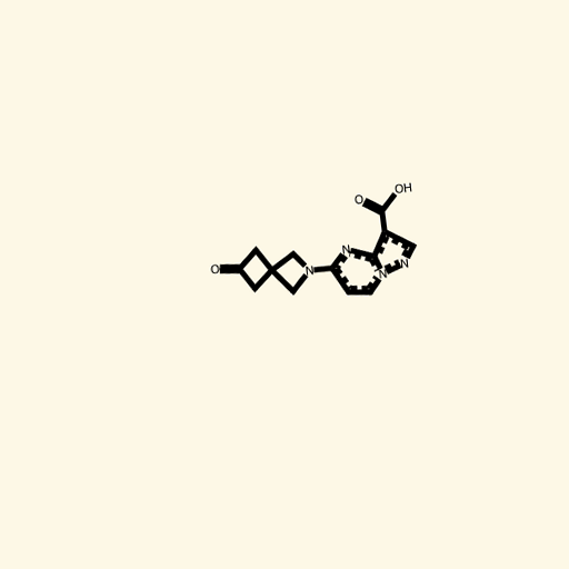 O=C1CC2(C1)CN(c1ccn3ncc(C(=O)O)c3n1)C2